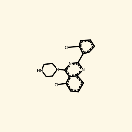 Clc1ccccc1-c1nc(N2CCNCC2)c2c(Cl)cccc2n1